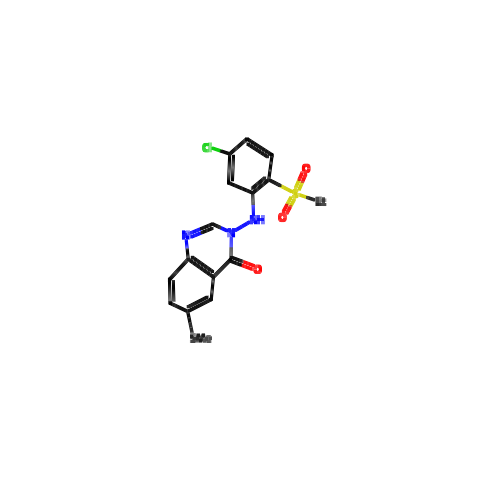 CCS(=O)(=O)c1ccc(Cl)cc1Nn1cnc2ccc(SC)cc2c1=O